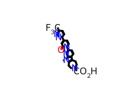 Cn1c2c(c3ccc(-n4ccc(-c5ccc(C(F)(F)F)nn5)cc4=O)nc31)CCN(C(=O)O)CC2